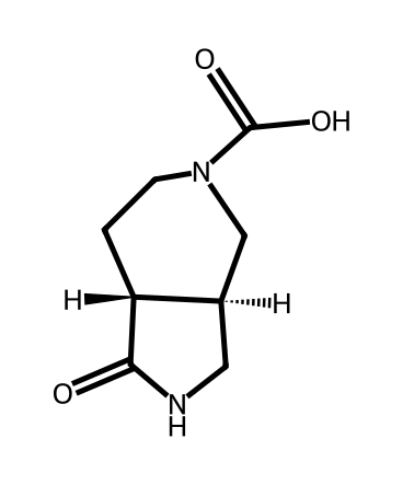 O=C1NC[C@@H]2CN(C(=O)O)CC[C@@H]12